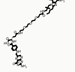 CCCCc1nc2c(N)nc3ccccc3c2n1CC(C)(C)CNC(=O)CCOCCOCCOCCNC(=O)CC[C@H](NC(=O)c1ccc(NCc2cnc3nc(N)[nH]c(=O)c3n2)cc1)C(=O)O